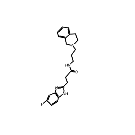 O=C(CCc1nc2cc(F)ccc2[nH]1)NCCCN1CCc2ccccc2C1